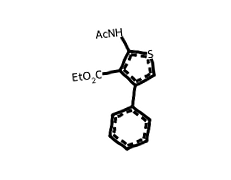 CCOC(=O)c1c(-c2ccccc2)csc1NC(C)=O